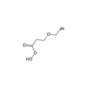 CC(C)COCCC(=O)OO